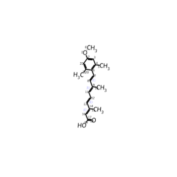 COc1cc(C)c(/C=C/C(C)=C/C=C/C(C)=C/C(=O)O)c(C)c1